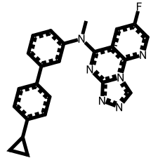 CN(c1cccc(-c2ccc(C3CC3)cc2)c1)c1nc2nncn2c2ncc(F)cc12